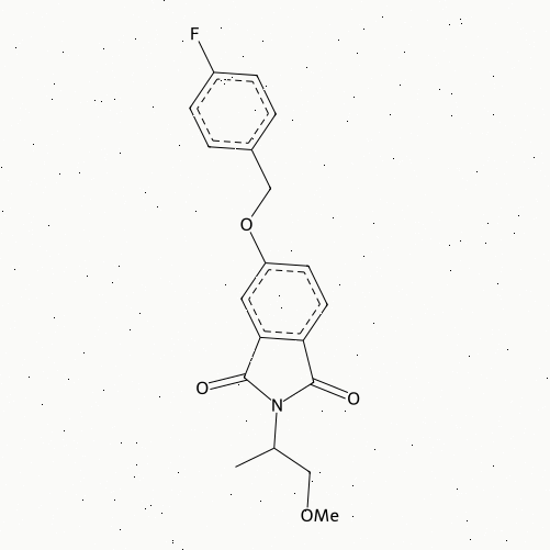 COCC(C)N1C(=O)c2ccc(OCc3ccc(F)cc3)cc2C1=O